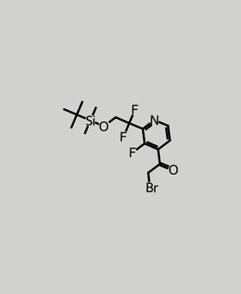 CC(C)(C)[Si](C)(C)OCC(F)(F)c1nccc(C(=O)CBr)c1F